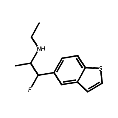 CCNC(C)C(F)c1ccc2sccc2c1